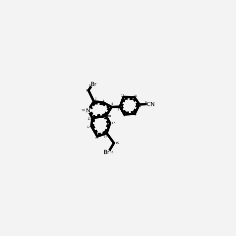 N#Cc1ccc(-c2cc(CBr)nc3ccc(CBr)cc23)cc1